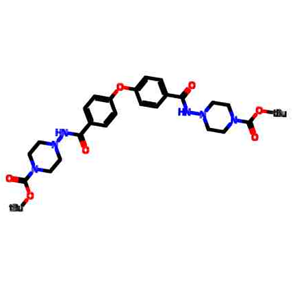 CC(C)(C)OC(=O)N1CCN(NC(=O)c2ccc(Oc3ccc(C(=O)NN4CCN(C(=O)OC(C)(C)C)CC4)cc3)cc2)CC1